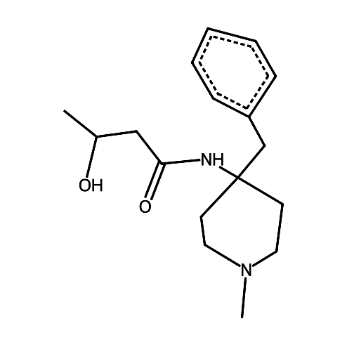 CC(O)CC(=O)NC1(Cc2ccccc2)CCN(C)CC1